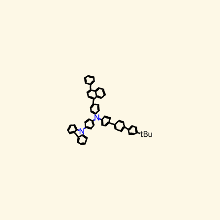 CC(C)(C)c1ccc(-c2ccc(-c3ccc(N(c4ccc(-c5ccc(-c6ccccc6)c6ccccc56)cc4)c4ccc(-n5c6ccccc6c6ccccc65)cc4)cc3)cc2)cc1